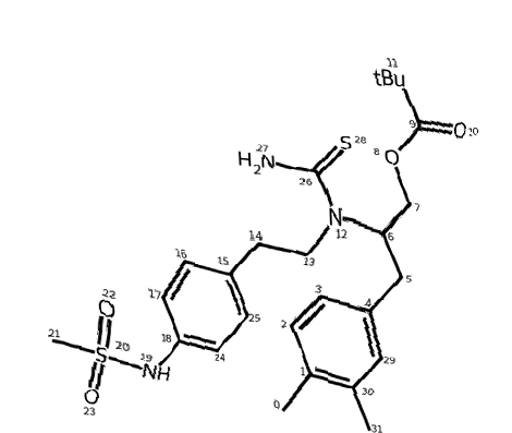 Cc1ccc(CC(COC(=O)C(C)(C)C)N(CCc2ccc(NS(C)(=O)=O)cc2)C(N)=S)cc1C